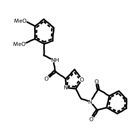 COc1cccc(CNC(=O)c2coc(CN3C(=O)c4ccccc4C3=O)n2)c1OC